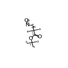 CC(C)(C)OC(=O)C(C)(C)SN=O